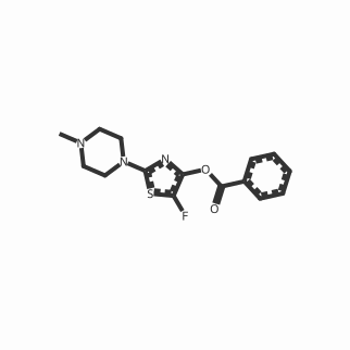 CN1CCN(c2nc(OC(=O)c3ccccc3)c(F)s2)CC1